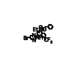 CC[C@@H]1C[C@H](Nc2ncc(Br)cn2)c2cc(C(F)(F)F)ccc2N1C(=O)OCc1ccccc1